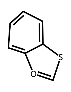 c1ccc2sc[o+]c2c1